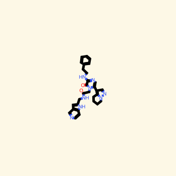 O=C(Cn1c(-c2cnn3c2CCCC3)cnc(NCCc2ccccc2)c1=O)NCc1cc2cnccc2[nH]1